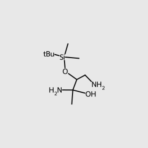 CC(N)(O)C(CN)O[Si](C)(C)C(C)(C)C